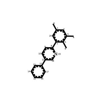 Cc1cc(C)c(C)c(-c2ccc(-c3ccccc3)cn2)c1